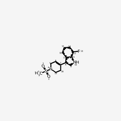 CS(=O)(=O)N1CC=C(c2c[nH]c3c(F)cccc23)CC1